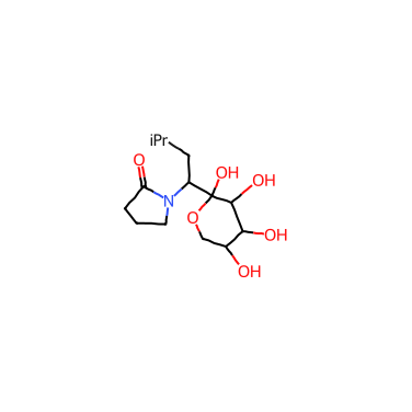 CC(C)CC(N1CCCC1=O)C1(O)OCC(O)C(O)C1O